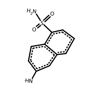 [NH]c1ccc2c(S(N)(=O)=O)cccc2c1